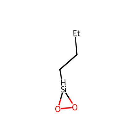 CCCC[SiH]1OO1